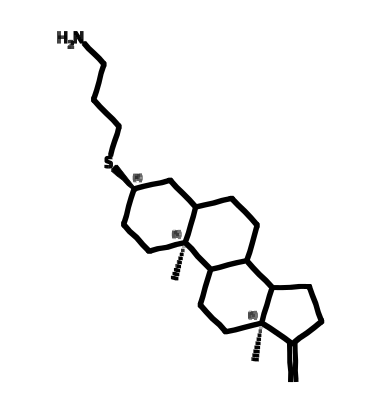 C=C1CCC2C3CCC4C[C@H](SCCCN)CC[C@]4(C)C3CC[C@]12C